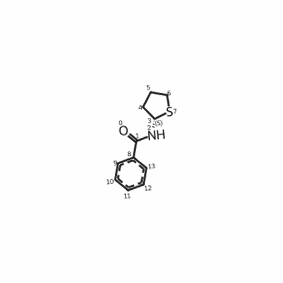 O=C(N[C@@H]1CCCS1)c1ccccc1